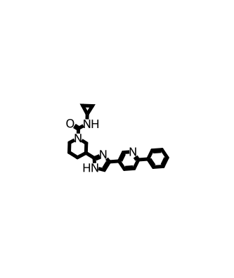 O=C(NC1CC1)N1CCCC(c2nc(-c3ccc(-c4ccccc4)nc3)c[nH]2)C1